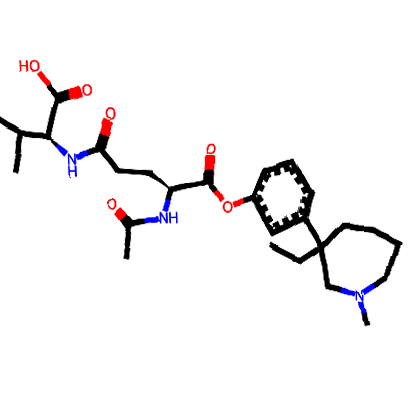 CCC1(c2cccc(OC(=O)[C@H](CCC(=O)N[C@H](C(=O)O)C(C)C)NC(C)=O)c2)CCCCN(C)C1